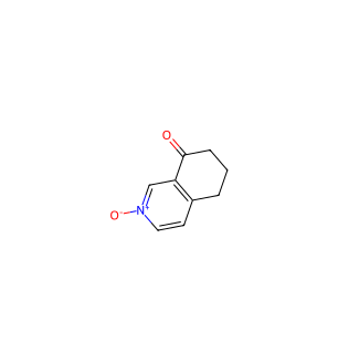 O=C1CCCc2cc[n+]([O-])cc21